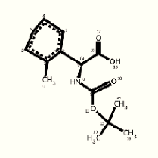 Cc1ccccc1[C@H](NC(=O)OC(C)(C)C)C(=O)O